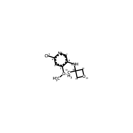 COc1cc(Cl)ncc1NC1(C)COC1